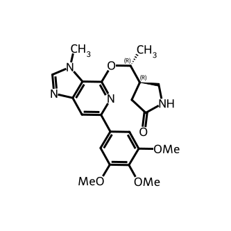 COc1cc(-c2cc3ncn(C)c3c(O[C@H](C)[C@H]3CNC(=O)C3)n2)cc(OC)c1OC